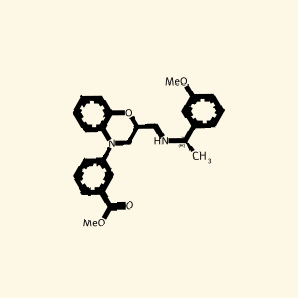 COC(=O)c1cccc(N2CC(CN[C@H](C)c3cccc(OC)c3)Oc3ccccc32)c1